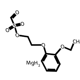 CCOc1ccccc1OCCOS(=O)(=O)C=O.[MgH2]